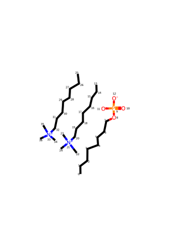 CCCCCCCCOP(=O)([O-])[O-].CCCCCCCC[N+](C)(C)C.CCCCCCCC[N+](C)(C)C